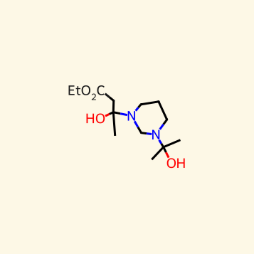 CCOC(=O)CC(C)(O)N1CCCN(C(C)(C)O)C1